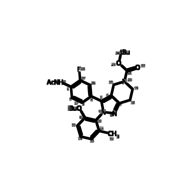 CC(=O)Nc1ccc(-c2c3c(nn2-c2c(C)cccc2OCC(C)C)CCN(C(=O)OC(C)(C)C)C3)cc1F